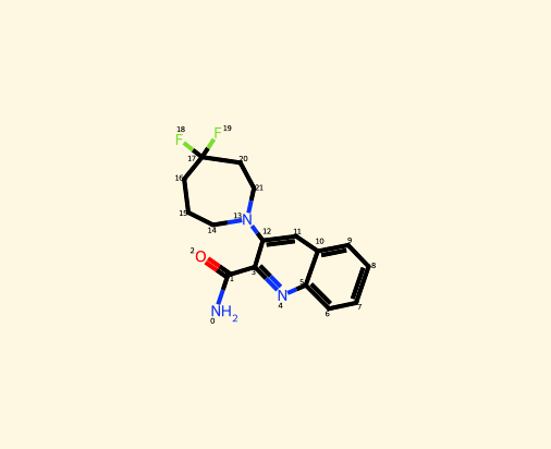 NC(=O)c1nc2ccccc2cc1N1CCCC(F)(F)CC1